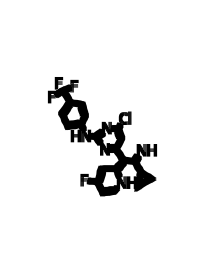 N=C(/C(=C1/C=C(F)C=CN1)c1cc(Cl)nc(Nc2ccc(C(F)(F)F)cc2)n1)C1CC1